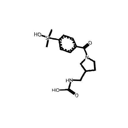 C[Si](C)(O)c1ccc(C(=O)N2CCC(CNC(=O)O)C2)cc1